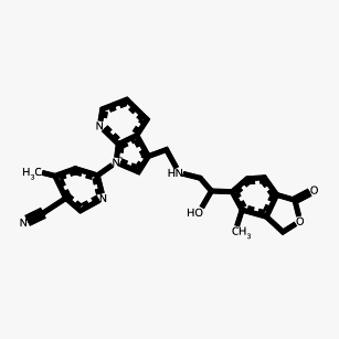 Cc1cc(-n2cc(CNCC(O)c3ccc4c(c3C)COC4=O)c3cccnc32)ncc1C#N